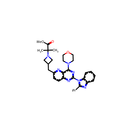 COC(=O)C(C)(C)N1CC(Cc2ccc3nc(-n4c(C(C)C)nc5ccccc54)nc(N4CCOCC4)c3n2)C1